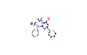 CN(c1nc(-c2ccncc2)cc(=O)n1C)C1CCCCC1